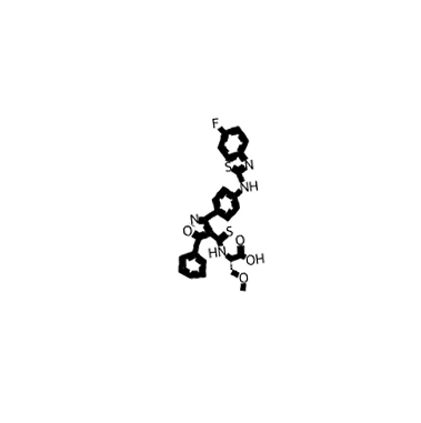 COC[C@H](NC(=S)c1c(-c2ccc(Nc3nc4ccc(F)cc4s3)cc2)noc1-c1ccccc1)C(=O)O